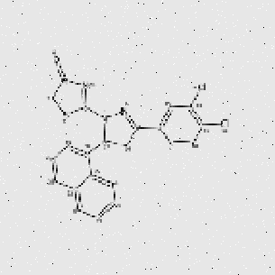 O=C1CSC(N2N=C(c3ccc(Cl)c(Cl)c3)CC2c2cccc3ccccc23)=N1